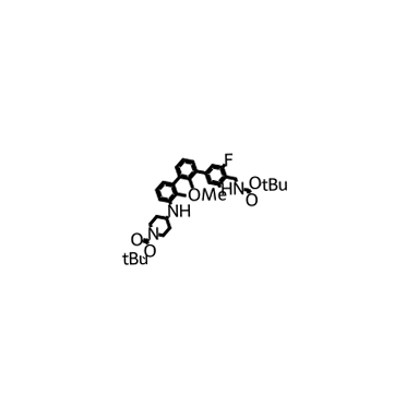 COc1cc(-c2cccc(-c3cccc(NC4CCN(C(=O)OC(C)(C)C)CC4)c3C)c2C)cc(F)c1CNC(=O)OC(C)(C)C